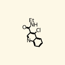 CCNC(=O)c1cnc2ccccc2c1Cl